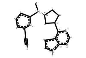 CN(c1cccc(C#N)n1)[C@@H]1CCC(c2ncnc3[nH]ccc23)C1